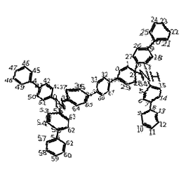 C1=CC(Nc2ccc(-c3ccccc3)cc2)(c2ccc(-c3ccccc3)cc2)CC=C1c1ccc(-c2ccc(N(c3ccc(-c4ccccc4)cc3)c3ccc(-c4ccccc4)cc3)cc2)cc1